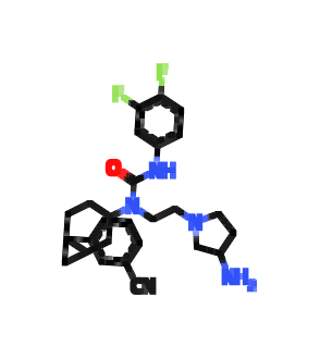 N#Cc1cccc(C23CCC(N(CCN4CCC(N)C4)C(=O)Nc4ccc(F)c(F)c4)CC2C3)c1